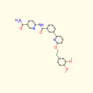 COc1ccc(CCOc2cccc(-c3cccc(C(=O)Nc4ccc(C(N)=O)cn4)c3)n2)cc1OC